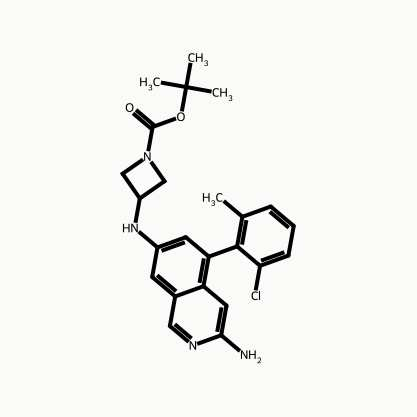 Cc1cccc(Cl)c1-c1cc(NC2CN(C(=O)OC(C)(C)C)C2)cc2cnc(N)cc12